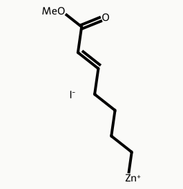 COC(=O)C=CCCC[CH2][Zn+].[I-]